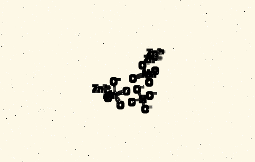 [O-][Si]([O-])([O-])[O-].[O]=[Mn](=[O])(=[O])[O-].[O]=[Mn](=[O])(=[O])[O-].[Zn+2].[Zn+2].[Zn+2]